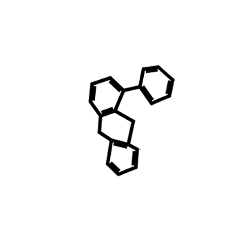 [c]1cccc2c1Cc1c(cccc1-c1ccccc1)C2